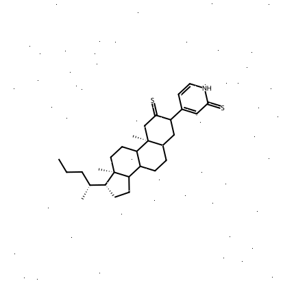 CCC[C@@H](C)[C@H]1CCC2C3CCC4CC(c5[c]c(=S)[nH]cc5)C(=S)C[C@]4(C)C3CC[C@@]21C